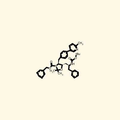 Cc1ccc(-c2ccc(C[C@H]3[C@H](C[C@H](Cc4ccccc4)NC(=O)OC(C)(C)C)OC(C)(C)N3C(=O)OCc3ccccc3)cc2)cn1